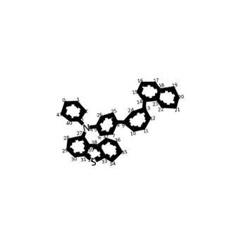 c1ccc(N(c2ccc(-c3cccc(-c4cccc5ccccc45)c3)cc2)c2cccc3sc4ccccc4c23)cc1